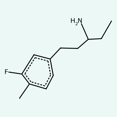 CCC(N)CCc1ccc(C)c(F)c1